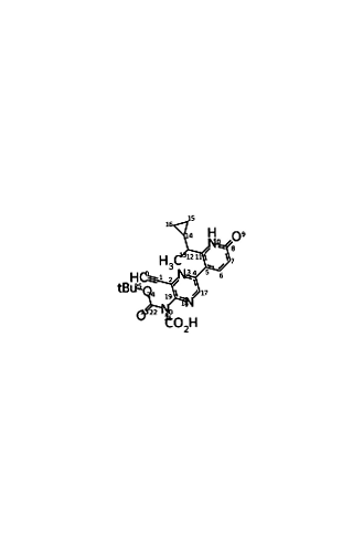 C#Cc1nc(-c2ccc(=O)[nH]c2C(C)C2CC2)cnc1N(C(=O)O)C(=O)OC(C)(C)C